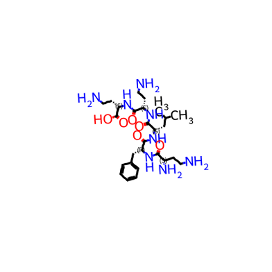 CC(C)C[C@H](NC(=O)[C@@H](Cc1ccccc1)NC(=O)[C@@H](N)CCN)C(=O)N[C@@H](CCN)C(=O)N[C@@H](CCN)C(=O)O